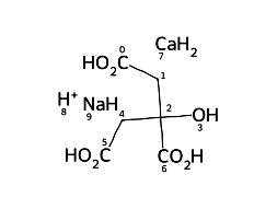 O=C(O)CC(O)(CC(=O)O)C(=O)O.[CaH2].[H+].[NaH]